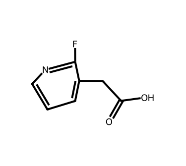 O=C(O)Cc1cccnc1F